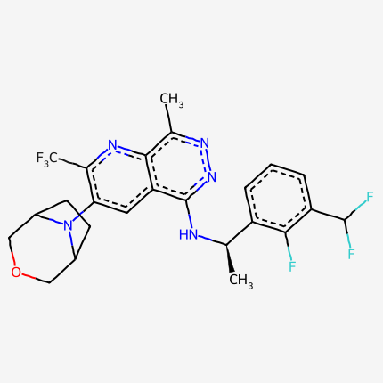 Cc1nnc(N[C@H](C)c2cccc(C(F)F)c2F)c2cc(N3C4CCC3COC4)c(C(F)(F)F)nc12